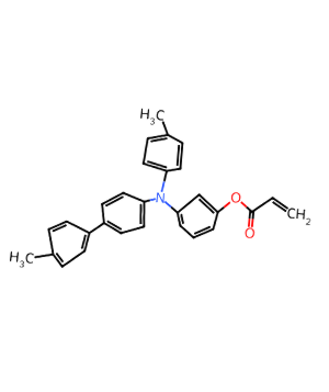 C=CC(=O)Oc1cccc(N(c2ccc(C)cc2)c2ccc(-c3ccc(C)cc3)cc2)c1